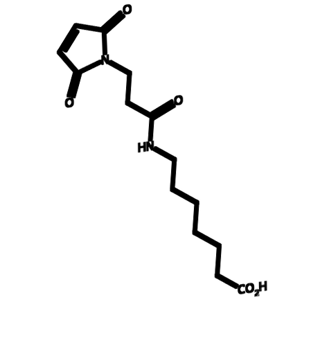 O=C(O)CCCCCCNC(=O)CCN1C(=O)C=CC1=O